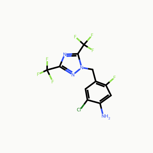 Nc1cc(F)c(Cn2nc(C(F)(F)F)nc2C(F)(F)F)cc1Cl